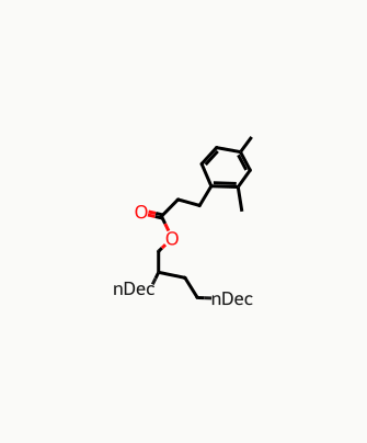 CCCCCCCCCCCCC(CCCCCCCCCC)COC(=O)CCc1ccc(C)cc1C